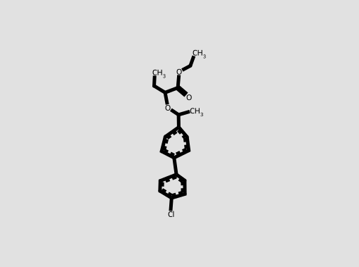 CCOC(=O)C(CC)OC(C)c1ccc(-c2ccc(Cl)cc2)cc1